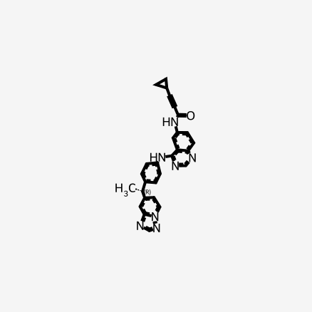 C[C@H](c1ccc(Nc2ncnc3ccc(NC(=O)C#CC4CC4)cc23)cc1)c1ccn2ncnc2c1